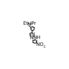 CCN(Cc1cccc(-c2ccnc(Nc3cccc([N+](=O)[O-])c3)n2)c1)C(C)C